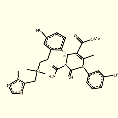 COC(=O)C1=C(C)N(c2cccc(C(F)(F)F)c2)C(=N)N(C(N)=O)[C@@H]1c1ccc(C#N)cc1CC[N+](C)(C)Cc1ncnn1C